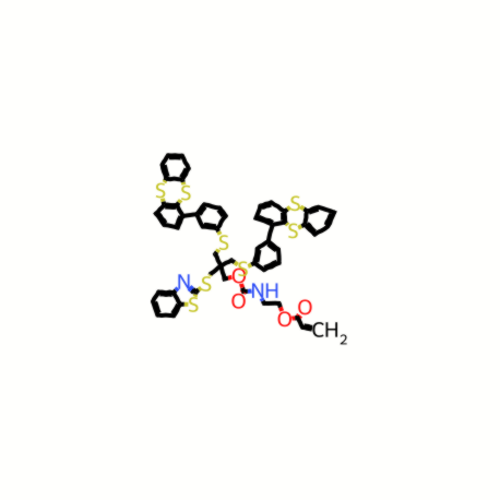 C=CC(=O)OCCNC(=O)OCC(CSc1cccc(-c2cccc3c2Sc2ccccc2S3)c1)(CSc1cccc(-c2cccc3c2Sc2ccccc2S3)c1)CSc1nc2ccccc2s1